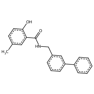 Cc1ccc(O)c(C(=O)NCc2cccc(-c3ccccc3)c2)c1